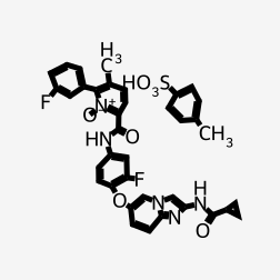 Cc1ccc(C(=O)Nc2ccc(Oc3ccc4nc(NC(=O)C5CC5)cn4c3)c(F)c2)[n+]([O-])c1-c1cccc(F)c1.Cc1ccc(S(=O)(=O)O)cc1